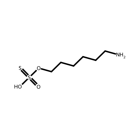 NCCCCCCOS(=O)(O)=S